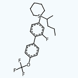 CCCC(C)[Si]1(c2ccc(-c3ccc(OC(F)(F)F)cc3)c(F)c2)CCCCC1